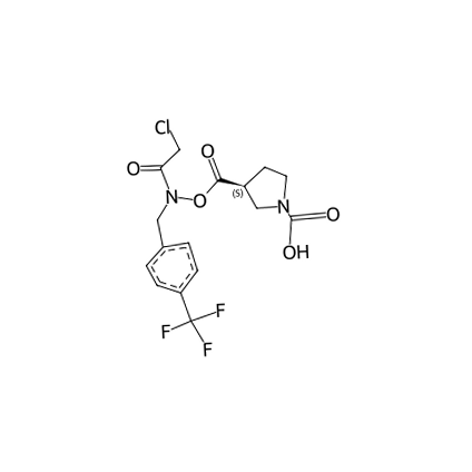 O=C(ON(Cc1ccc(C(F)(F)F)cc1)C(=O)CCl)[C@H]1CCN(C(=O)O)C1